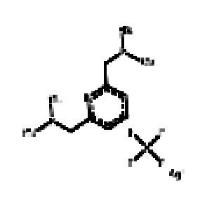 CC(C)(C)P(Cc1cccc(CP(C(C)(C)C)C(C)(C)C)n1)C(C)(C)C.F[B-](F)(F)F.[Ag+]